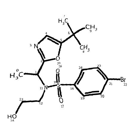 CC(c1ncc(C(C)(C)C)o1)N(CCO)S(=O)(=O)c1ccc(Br)cc1